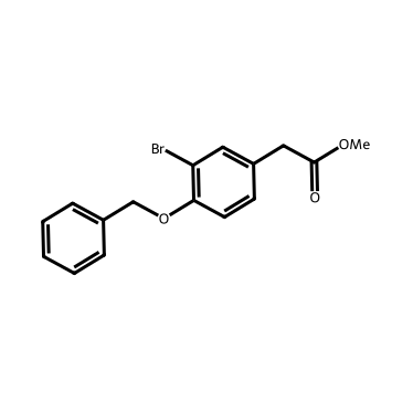 COC(=O)Cc1ccc(OCc2ccccc2)c(Br)c1